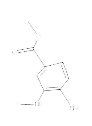 COC(=O)c1ccc(N)c(NF)c1